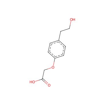 O=C(O)COc1ccc(CCO)cc1